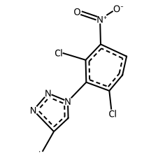 [CH2]c1cn(-c2c(Cl)ccc([N+](=O)[O-])c2Cl)nn1